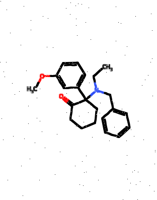 CCN(Cc1ccccc1)C1(c2cccc(OC)c2)CCCCC1=O